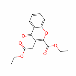 CCOC(=O)Cc1c(C(=O)OCC)oc2ccccc2c1=O